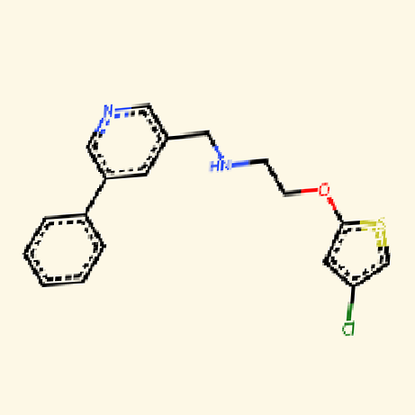 Clc1csc(OCCNCc2cncc(-c3ccccc3)c2)c1